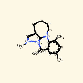 CCCC(CCC)N1C2C(=CN1C)CCCCN2c1c(C)cc(C)cc1C